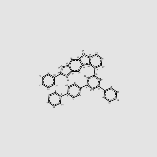 c1ccc(-c2ccc(-c3nc(-c4ccccc4)nc(-c4cccc5oc6cc7sc(-c8ccccc8)nc7cc6c45)n3)cc2)cc1